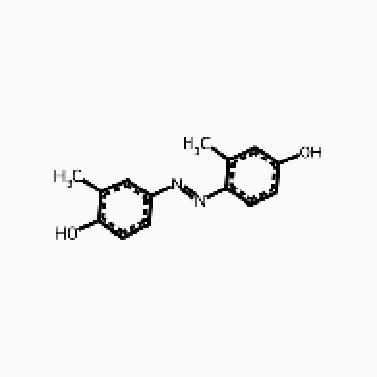 Cc1cc(/N=N/c2ccc(O)cc2C)ccc1O